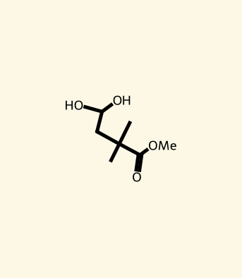 COC(=O)C(C)(C)CC(O)O